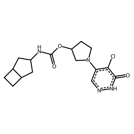 O=C(NC1CC2CCC2C1)OC1CCN(c2cn[nH]c(=O)c2Cl)C1